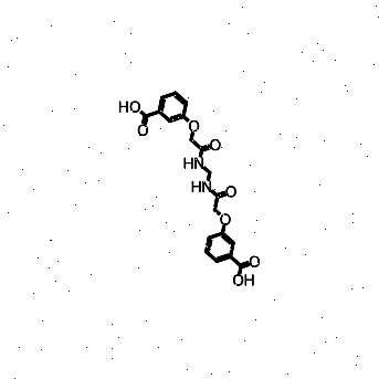 O=C(COc1cccc(C(=O)O)c1)NCNC(=O)COc1cccc(C(=O)O)c1